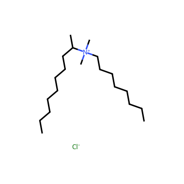 CCCCCCCCC(C)[N+](C)(C)CCCCCCCC.[Cl-]